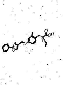 CCO[C@@H](Cc1ccc(OCc2coc(-c3ccccc3)n2)cc1C)C(=O)O